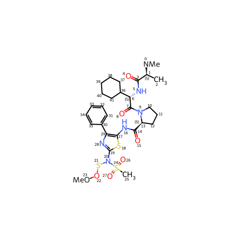 CN[C@@H](C)C(=O)N[C@H](C(=O)N1CCC[C@H]1C(=O)Nc1sc(N(SOOC)S(C)(=O)=O)nc1-c1ccccc1)C1CCCCC1